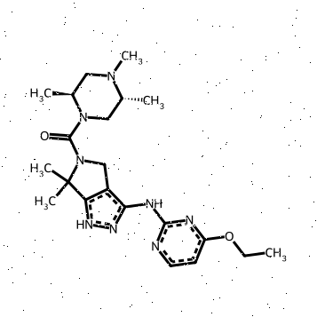 CCOc1ccnc(Nc2n[nH]c3c2CN(C(=O)N2C[C@@H](C)N(C)C[C@@H]2C)C3(C)C)n1